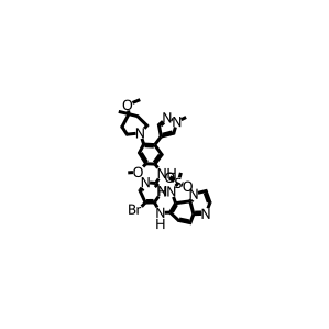 COc1cc(N2CCC(C)(OC)CC2)c(-c2cnn(C)c2)cc1Nc1ncc(Br)c(Nc2ccc3nccnc3c2NS(C)(=O)=O)n1